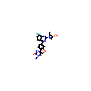 C[C@H]1[C@H](O)CN1c1nc(-c2ccc3c(c2)OCC32CN(C)C(=O)N2)c2c(n1)C(F)(F)CC2